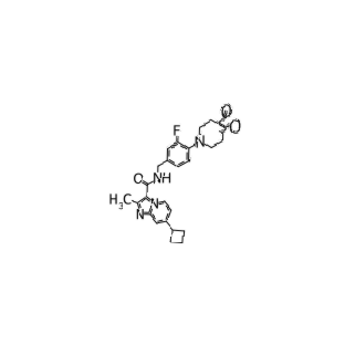 Cc1nc2cc(C3CCC3)ccn2c1C(=O)NCc1ccc(N2CCS(=O)(=O)CC2)c(F)c1